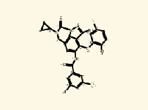 Nc1nn2c3c(cc(NC(=O)c4cc(F)cc(C(F)(F)F)c4)c(Oc4cc(F)ccc4Cl)c13)CN(C1CC1)C2=O